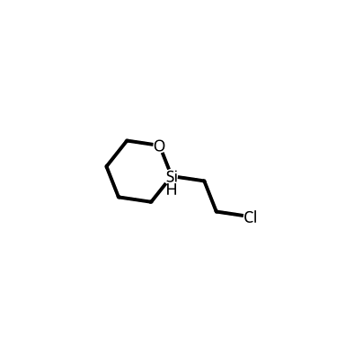 ClCC[SiH]1CCCCO1